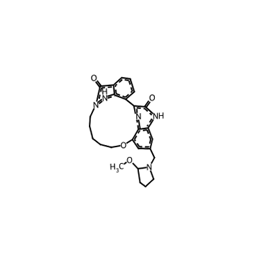 COC1CCCN1Cc1cc2c3nc(c(=O)[nH]c3c1)-c1cccc3c(=O)n([nH]c13)CCCCCO2